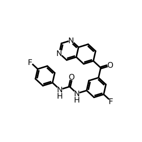 O=C(Nc1ccc(F)cc1)Nc1cc(F)cc(C(=O)c2ccc3ncncc3c2)c1